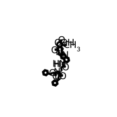 CC[C@@]1(O)C(=O)OCc2c1cc1n(c2=O)Cc2cc3c(NC(=O)CC[C@H](NC(=O)OCc4ccccc4)C(=O)OCc4ccccc4)cccc3nc2-1